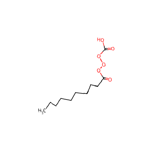 CCCCCCCCCC(=O)OOOC(=O)O